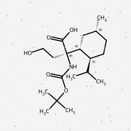 CC(C)[C@@H]1CC[C@@H](C)C[C@H]1[C@@](CCO)(NC(=O)OC(C)(C)C)C(=O)O